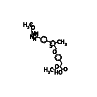 CCO[C@@H](Cc1ccc(OCc2sc(-c3ccc(-c4nnn(COC)n4)cc3)cc2C)cc1)C(=O)O